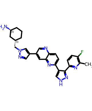 Cc1nc(-c2n[nH]cc2-c2ccc3ncc(-c4cnn(C[C@H]5CCC[C@H](N)C5)c4)cc3n2)ccc1F